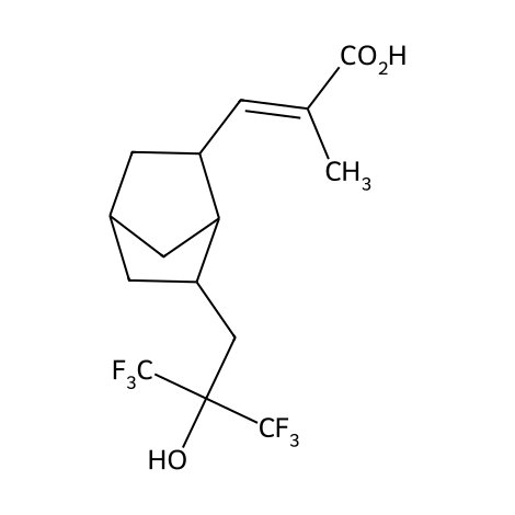 CC(=CC1CC2CC(CC(O)(C(F)(F)F)C(F)(F)F)C1C2)C(=O)O